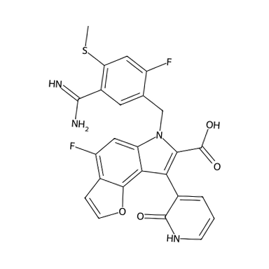 CSc1cc(F)c(Cn2c(C(=O)O)c(-c3ccc[nH]c3=O)c3c4occc4c(F)cc32)cc1C(=N)N